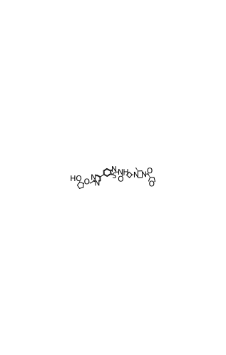 C[C@H]1CN(C(=O)[C@H]2CCOC2)CCN1[C@H]1C[C@@H](C(=O)Nc2nc3ccc(-c4cnc(CO[C@H]5CCC[C@@H]5O)nc4)cc3s2)C1